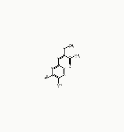 CCC(=Cc1ccc(O)c(O)c1)C(N)=O